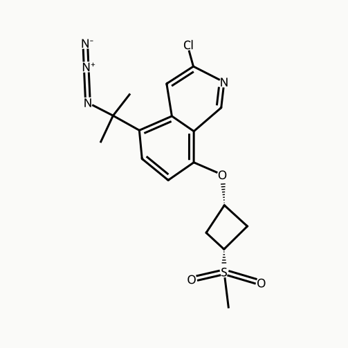 CC(C)(N=[N+]=[N-])c1ccc(O[C@H]2C[C@@H](S(C)(=O)=O)C2)c2cnc(Cl)cc12